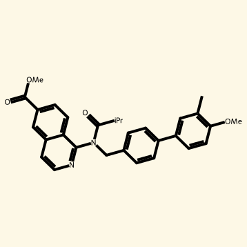 COC(=O)c1ccc2c(N(Cc3ccc(-c4ccc(OC)c(C)c4)cc3)C(=O)C(C)C)nccc2c1